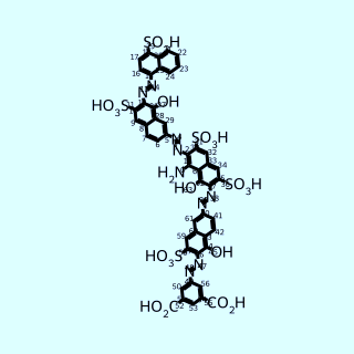 Nc1c(N=Nc2ccc3cc(S(=O)(=O)O)c(N=Nc4ccc(S(=O)(=O)O)c5ccccc45)c(O)c3c2)c(S(=O)(=O)O)cc2cc(S(=O)(=O)O)c(N=Nc3ccc4c(O)c(N=Nc5cc(C(=O)O)cc(C(=O)O)c5)c(S(=O)(=O)O)cc4c3)c(O)c12